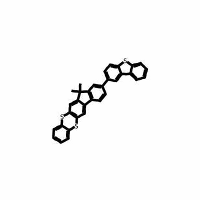 CC1(C)c2cc(-c3ccc4sc5ccccc5c4c3)ccc2-c2cc3c(cc21)Sc1ccccc1S3